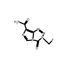 NC(=O)c1ncn2c(=O)n(CF)nnc12